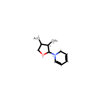 CC(=O)OC1COC(N2C=CC=CC2)C1OC(C)=O